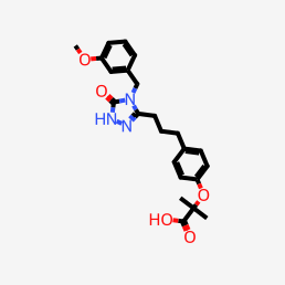 COc1cccc(Cn2c(CCCc3ccc(OC(C)(C)C(=O)O)cc3)n[nH]c2=O)c1